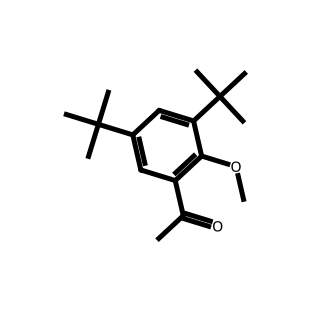 COc1c(C(C)=O)cc(C(C)(C)C)cc1C(C)(C)C